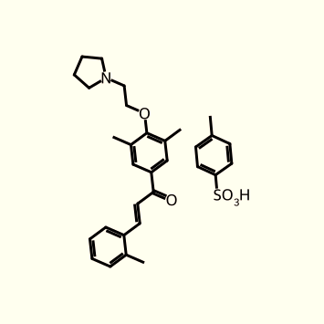 Cc1ccc(S(=O)(=O)O)cc1.Cc1ccccc1C=CC(=O)c1cc(C)c(OCCN2CCCC2)c(C)c1